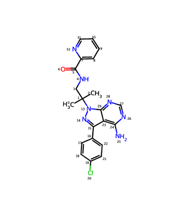 CC(C)(CNC(=O)c1ccccn1)n1nc(-c2ccc(Cl)cc2)c2c(N)ncnc21